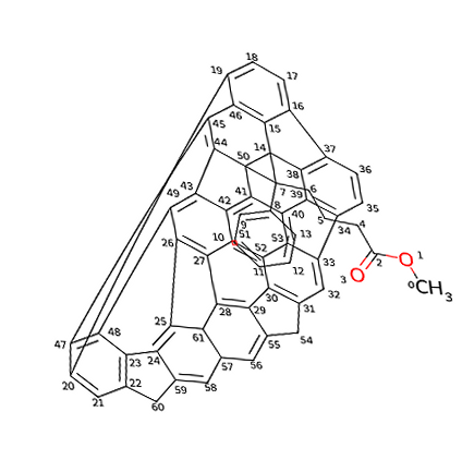 COC(=O)CCCC1(c2ccccc2)C23c4c5ccc6c7cc8c9c%10c%11c%12c%13c%14c%15c%16c(cc%17c%18ccc-5c2c%18c2c5c(c%18c(c(c46)c7c9c%12%18)C513)c%13c%16c%172)CC%15=CC(C=C%10C8)C%11%14